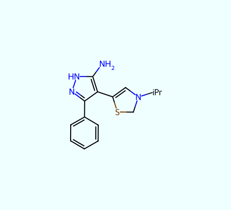 CC(C)N1C=C(c2c(-c3ccccc3)n[nH]c2N)SC1